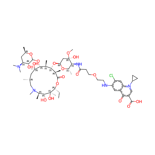 CC[C@H]1OC(=O)[C@H](C)[C@@H](O[C@H]2C[C@@](O)(OC)[C@@H](NC(=O)CCOCCNc3cc4c(=O)c(C(=O)O)cn(C5CC5)c4cc3Cl)[C@H](C)O2)[C@H](C)[C@@H](OC2O[C@H](C)C[C@H](N(C)C)[C@H]2O)[C@](C)(O)C[C@@H](C)CN(C)[C@H](C)[C@@H](O)[C@]1(C)O